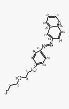 FCCOCCOc1ccc(N=Nc2ccc3ncccc3c2)cc1